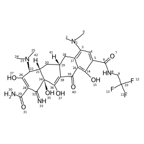 CN(C)c1cc(C(=O)NCC(F)(F)F)c(O)c2c1C[C@H]1C[C@H]3[C@H](N(C)C)C(O)=C(C(N)=O)C(=N)[C@@]3(O)C(O)=C1C2=O